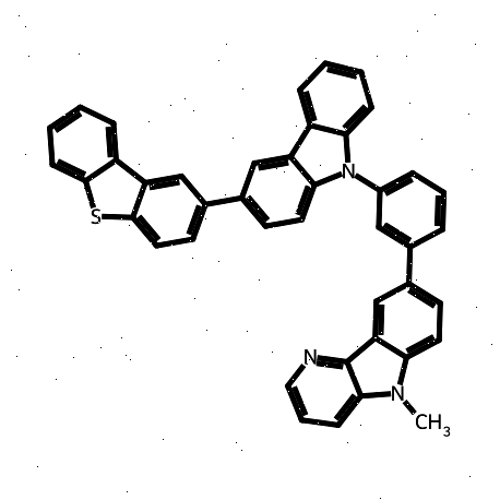 Cn1c2ccc(-c3cccc(-n4c5ccccc5c5cc(-c6ccc7sc8ccccc8c7c6)ccc54)c3)cc2c2ncccc21